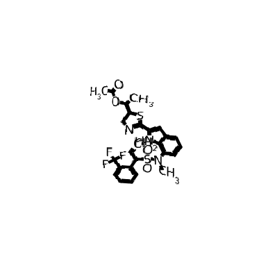 C=CC(c1ccccc1C(F)(F)F)S(=O)(=O)N(C)c1cccc2cc(C3=NCC(C(C)OC(C)=O)S3)[nH]c12